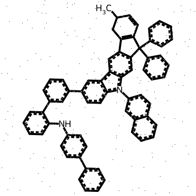 CC1C=CC2=C(C1)c1cc3c4cc(-c5cccc(-c6ccccc6Nc6ccc(-c7ccccc7)cc6)c5)ccc4n(-c4ccc5ccccc5c4)c3cc1C2(c1ccccc1)c1ccccc1